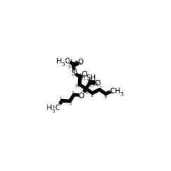 CCCCOC(CCCC)(CC(=O)SC(C)=O)C(=O)S